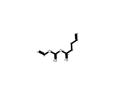 C=CCCC(=O)OC(=O)OC=C